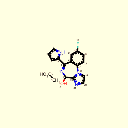 CC(=O)O.OC1N=C(c2ccc[nH]2)c2cc(F)ccc2-n2ccnc21